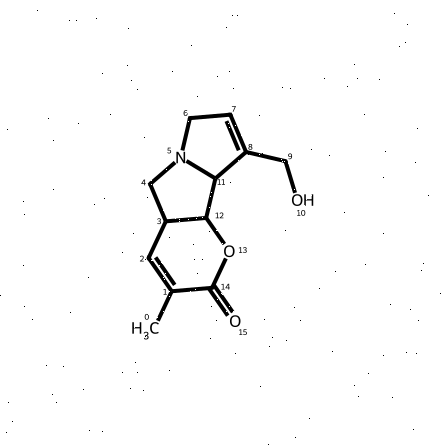 CC1=CC2CN3CC=C(CO)C3C2OC1=O